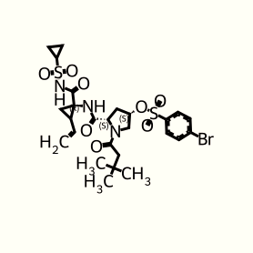 C=CC1C[C@]1(NC(=O)[C@@H]1C[C@H](OS(=O)(=O)c2ccc(Br)cc2)CN1C(=O)CC(C)(C)C)C(=O)NS(=O)(=O)C1CC1